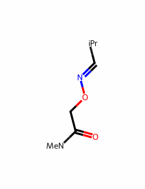 CNC(=O)CO/N=C/C(C)C